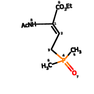 CCOC(=O)/C(=C/CP(C)(C)=O)NC(C)=O